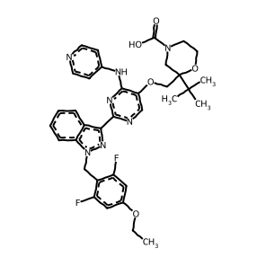 CCOc1cc(F)c(Cn2nc(-c3ncc(OCC4(C(C)(C)C)CN(C(=O)O)CCO4)c(Nc4ccncc4)n3)c3ccccc32)c(F)c1